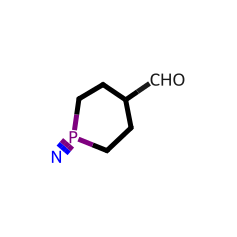 N#P1CCC(C=O)CC1